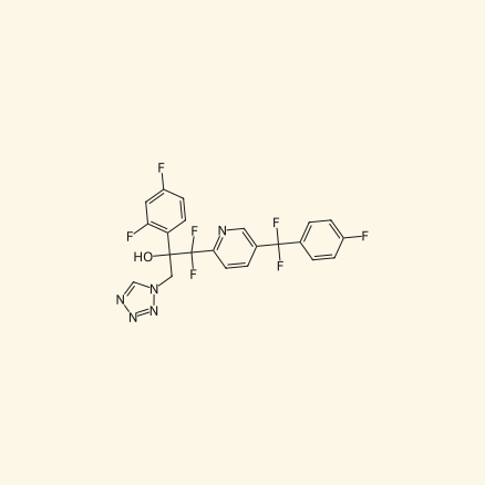 OC(Cn1cnnn1)(c1ccc(F)cc1F)C(F)(F)c1ccc(C(F)(F)c2ccc(F)cc2)cn1